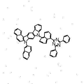 c1ccc(-c2nc(-c3ccccc3)nc(-c3cccc4c(-n5c6ccccc6c6cc7c8c9ccccc9ccc8n(-c8ccc9ccccc9c8)c7cc65)cccc34)n2)cc1